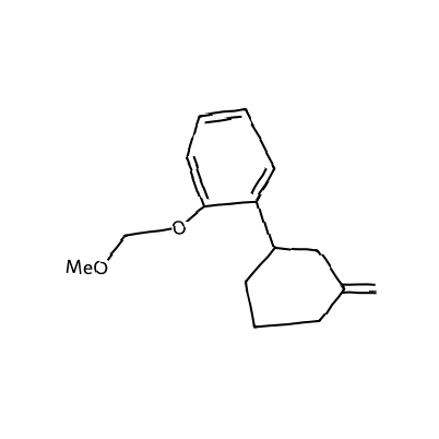 C=C1CCCC(c2ccccc2OCOC)C1